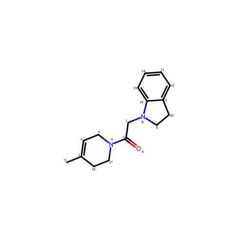 CC1=CCN(C(=O)CN2CCc3ccccc32)CC1